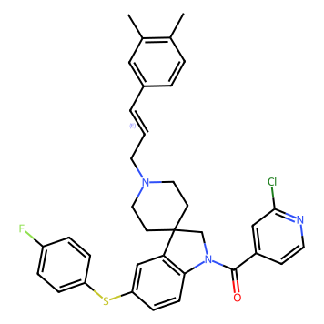 Cc1ccc(/C=C/CN2CCC3(CC2)CN(C(=O)c2ccnc(Cl)c2)c2ccc(Sc4ccc(F)cc4)cc23)cc1C